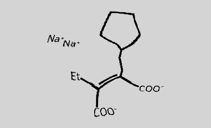 CC/C(C(=O)[O-])=C(/C(=O)[O-])C1CCCC1.[Na+].[Na+]